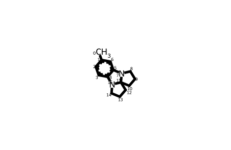 Cc1ccc2c(c1)N1CCCC13CCCN23